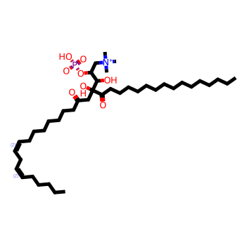 CCCCC/C=C\C/C=C\CCCCCCCC(=O)CC(O)(C(=O)CCCCCCCCCCCCCCC)C(O)C(C[N+](C)(C)C)OP(=O)([O-])O